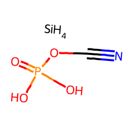 N#COP(=O)(O)O.[SiH4]